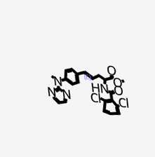 COC(=O)C(C/C=C/c1ccc(N(C)c2ncccn2)cc1)NC(=O)c1c(Cl)cccc1Cl